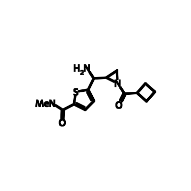 CNC(=O)c1ccc(C(N)C2CN2C(=O)C2CCC2)s1